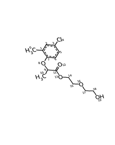 Cc1cc(Cl)ccc1OC(C)C(=O)OCCOCCO